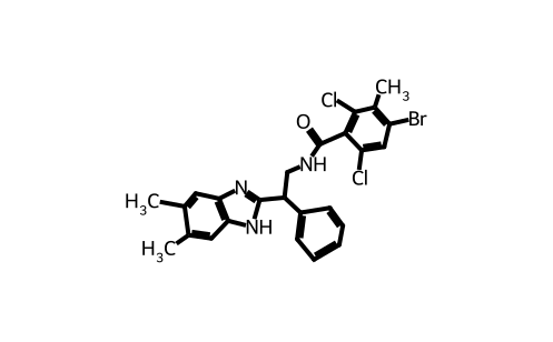 Cc1cc2nc(C(CNC(=O)c3c(Cl)cc(Br)c(C)c3Cl)c3ccccc3)[nH]c2cc1C